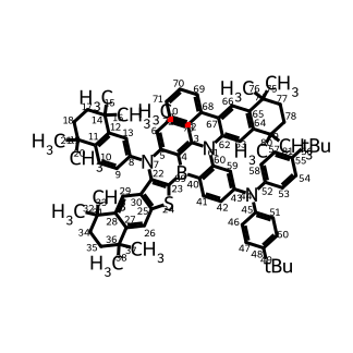 Cc1cc2c3c(c1)N(c1ccc4c(c1)C(C)(C)CCC4(C)C)c1c(sc4cc5c(cc14)C(C)(C)CCC5(C)C)B3c1ccc(N(c3ccc(C(C)(C)C)cc3)c3ccc(C(C)(C)C)cc3)cc1N2c1cc2c(cc1-c1ccccc1)C(C)(C)CCC2(C)C